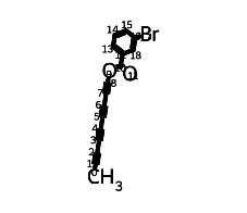 CC#CC#CC#CC#COC(=O)c1cccc(Br)c1